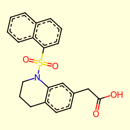 O=C(O)Cc1ccc2c(c1)N(S(=O)(=O)c1cccc3ccccc13)CCC2